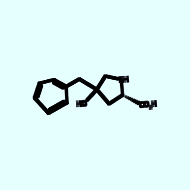 O=C(O)[C@@H]1CC(O)(Cc2ccccc2)CN1